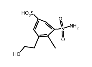 Cc1c(CCO)cc(S(=O)(=O)O)cc1S(N)(=O)=O